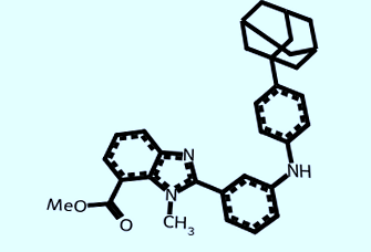 COC(=O)c1cccc2nc(-c3cccc(Nc4ccc(C56CC7CC(CC(C7)C5)C6)cc4)c3)n(C)c12